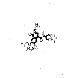 CCC(CC)NC(=O)c1cn(CC)c(=O)c2cc(OC)c(OC)cc12